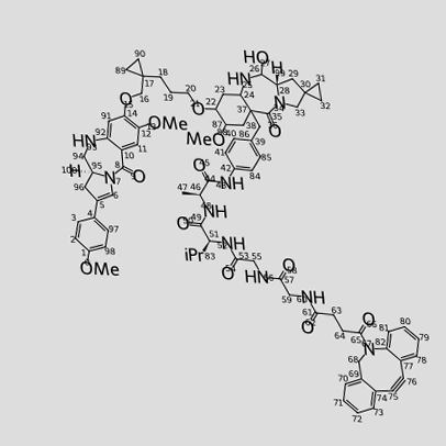 COc1ccc(C2=CN3C(=O)c4cc(OC)c(OCC5(CCCOC6CC7NC(O)[C@@H]8CC9(CC9)CN8C(=O)C7(Cc7ccc(NC(=O)[C@H](C)NC(=O)[C@@H](NC(=O)CNC(=O)CNC(=O)CCC(=O)N8Cc9ccccc9C#Cc9ccccc98)C(C)C)cc7)CC6OC)CC5)cc4NC[C@@H]3C2)cc1